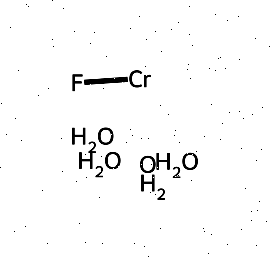 O.O.O.O.[F][Cr]